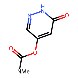 CNC(=O)Oc1cn[nH]c(=O)c1